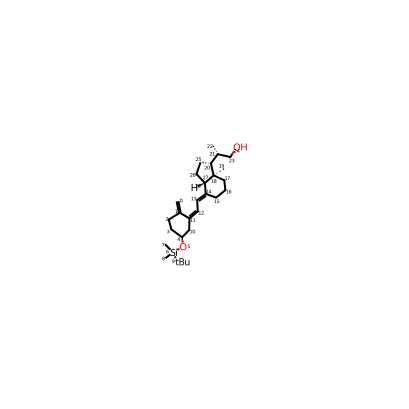 C=C1CC[C@H](O[Si](C)(C)C(C)(C)C)C/C1=C/C=C1\CCC[C@]2(C)[C@@H]([C@H](C)CO)CC[C@@H]12